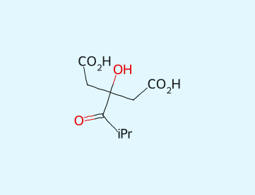 CC(C)C(=O)C(O)(CC(=O)O)CC(=O)O